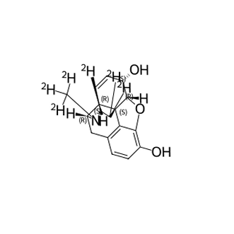 [2H][C@@H]1N(C([2H])([2H])[2H])[C@@H]2Cc3ccc(O)c4c3[C@@]3([C@H]2C=C[C@H](O)[C@@H]3O4)C1([2H])[2H]